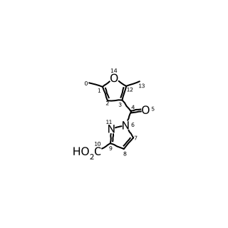 Cc1cc(C(=O)n2ccc(C(=O)O)n2)c(C)o1